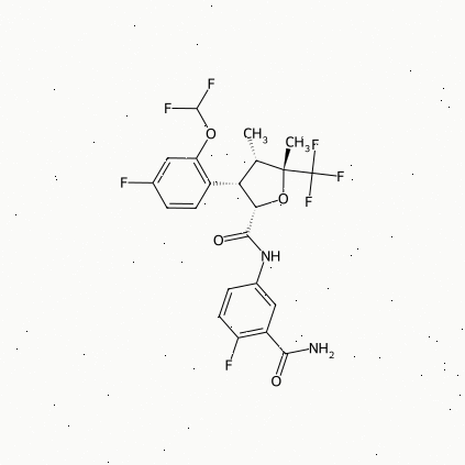 C[C@H]1[C@@H](c2ccc(F)cc2OC(F)F)[C@@H](C(=O)Nc2ccc(F)c(C(N)=O)c2)O[C@@]1(C)C(F)(F)F